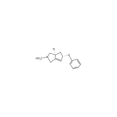 O=C(O)N1CC2=C[C@@H](Oc3ccccc3)C[C@@H]2C1